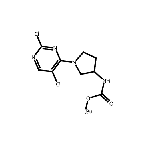 CC(C)(C)OC(=O)NC1CCN(c2nc(Cl)ncc2Cl)C1